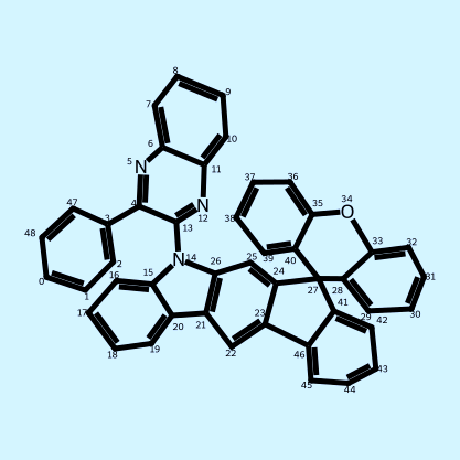 c1ccc(-c2nc3ccccc3nc2-n2c3ccccc3c3cc4c(cc32)C2(c3ccccc3Oc3ccccc32)c2ccccc2-4)cc1